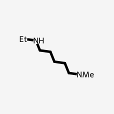 [CH2]CNCCCCCNC